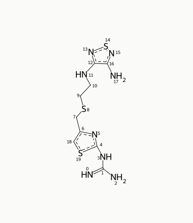 N=C(N)Nc1nc(CSCCNc2nsnc2N)cs1